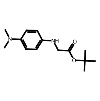 CN(C)c1ccc(NCC(=O)OC(C)(C)C)cc1